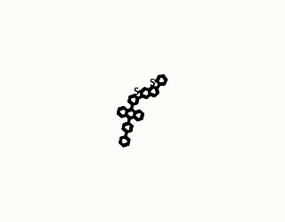 C1=CCCC(c2ccc(-c3c4ccccc4c(-c4ccc5sc6cc7c(ccc8c9ccccc9sc78)cc6c5c4)c4ccccc34)cc2)=C1